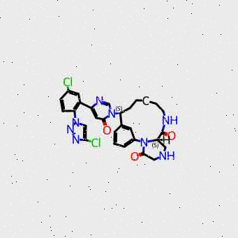 O=C1NCCCCC[C@H](n2cnc(-c3cc(Cl)ccc3-n3cc(Cl)nn3)cc2=O)c2cccc(c2)N2C(=O)CNC[C@@H]12